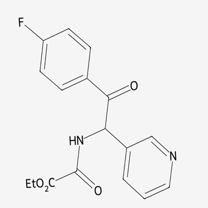 CCOC(=O)C(=O)NC(C(=O)c1ccc(F)cc1)c1cccnc1